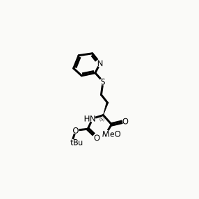 COC(=O)[C@H](CCSc1ccccn1)NC(=O)OC(C)(C)C